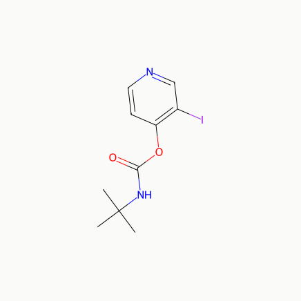 CC(C)(C)NC(=O)Oc1ccncc1I